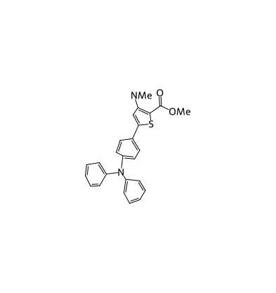 CNc1cc(-c2ccc(N(c3ccccc3)c3ccccc3)cc2)sc1C(=O)OC